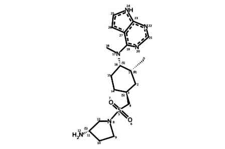 C[C@@H]1C[C@@H](CS(=O)(=O)N2CC[C@H](N)C2)CC[C@@H]1N(C)c1ncnc2[nH]ccc12